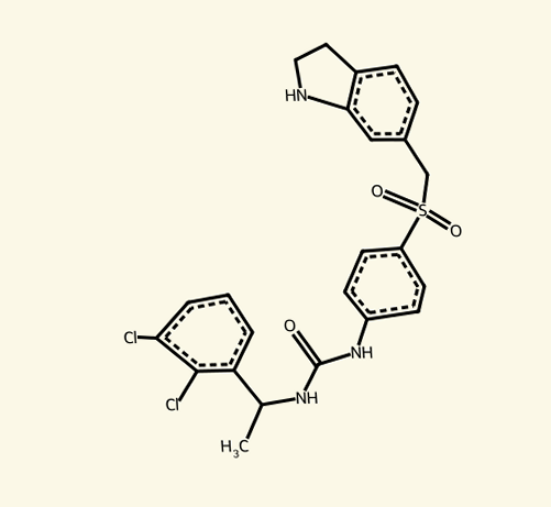 CC(NC(=O)Nc1ccc(S(=O)(=O)Cc2ccc3c(c2)NCC3)cc1)c1cccc(Cl)c1Cl